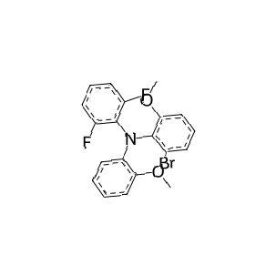 COc1ccccc1N(c1c(F)cccc1F)c1c(Br)cccc1OC